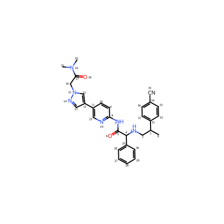 CC(CNC(C(=O)Nc1ccc(-c2cnn(CC(=O)N(C)C)c2)cn1)c1ccccc1)c1ccc(C#N)cc1